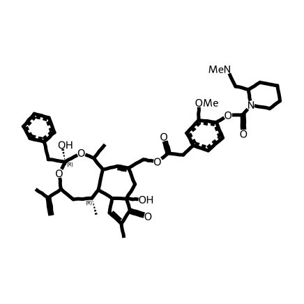 C=C(C)C1C[C@@H](C)C2C(C=C(COC(=O)Cc3ccc(OC(=O)N4CCCCC4CNC)c(OC)c3)CC3(O)C(=O)C(C)=CC23)C(C)O[C@](O)(Cc2ccccc2)O1